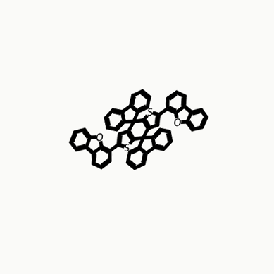 c1ccc2c(c1)-c1ccccc1C21c2cc(-c3cccc4c3oc3ccccc34)sc2C2(c3ccccc3-c3ccccc32)c2cc(-c3cccc4c3oc3ccccc34)sc21